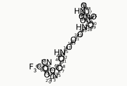 CC1(C)CN(Cc2ccc(-c3ccc(NCCOCCOCCOCCNc4cccc5c4C(=O)N(C4CCC(=O)NC4=O)C5=O)cc3)cc2)C(=O)C1Oc1ccc(C#N)c(C(F)(F)F)c1